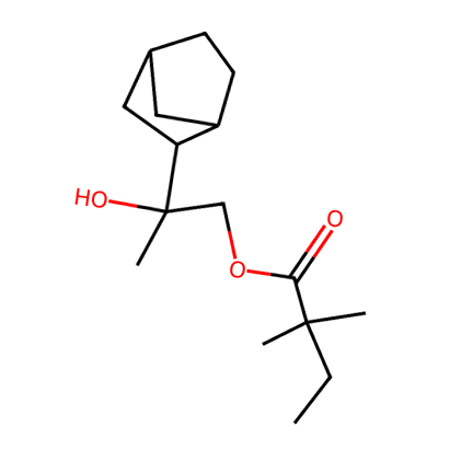 CCC(C)(C)C(=O)OCC(C)(O)C1CC2CCC1C2